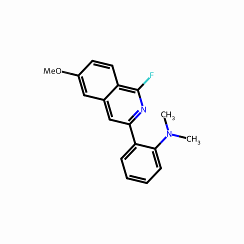 COc1ccc2c(F)nc(-c3ccccc3N(C)C)cc2c1